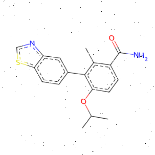 Cc1c(C(N)=O)ccc(OC(C)C)c1-c1ccc2scnc2c1